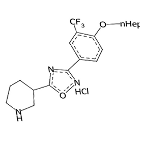 CCCCCCCOc1ccc(-c2noc(C3CCCNC3)n2)cc1C(F)(F)F.Cl